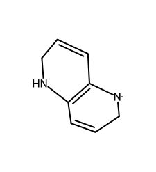 C1=CC2=C(C=CCN2)[N]C1